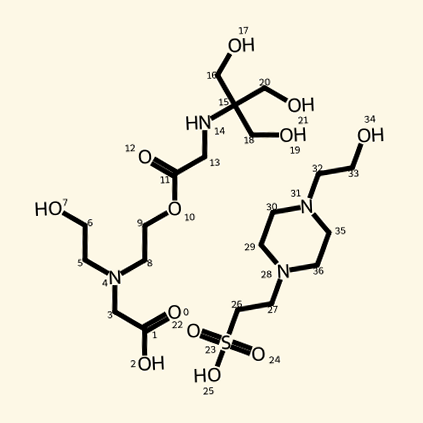 O=C(O)CN(CCO)CCOC(=O)CNC(CO)(CO)CO.O=S(=O)(O)CCN1CCN(CCO)CC1